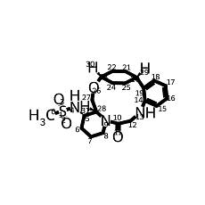 CS(=O)(=O)N[C@H]1CCCN2C(=O)CNc3ccccc3[C@H]3CC[C@H](CC3)OC[C@@H]12